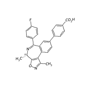 Cc1noc2c1-c1ccc(-c3ccc(C(=O)O)cc3)cc1C(c1ccc(F)cc1)=N[C@H]2C